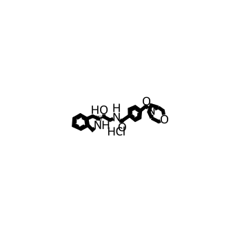 Cl.O=C(NCC(O)[C@@H]1Cc2ccccc2CN1)c1ccc(C(=O)N2C3CCC2COC3)cc1